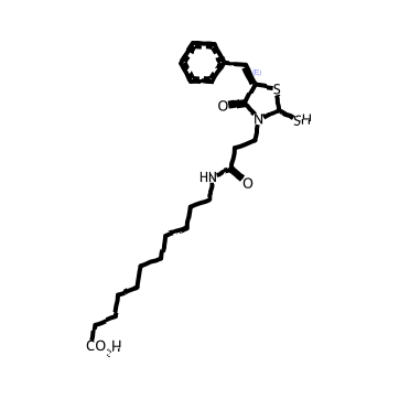 O=C(O)CCCCCCCCCCNC(=O)CCN1C(=O)/C(=C\c2ccccc2)SC1S